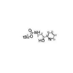 CC(C)(C)OC(=O)NCCC(O)c1ccccn1